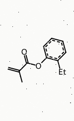 C=C(C)C(=O)Oc1ccccc1CC